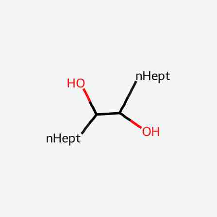 CCCCCCCC(O)C(O)CCCCCCC